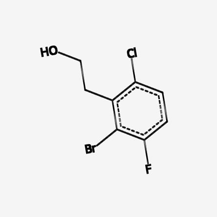 OCCc1c(Cl)ccc(F)c1Br